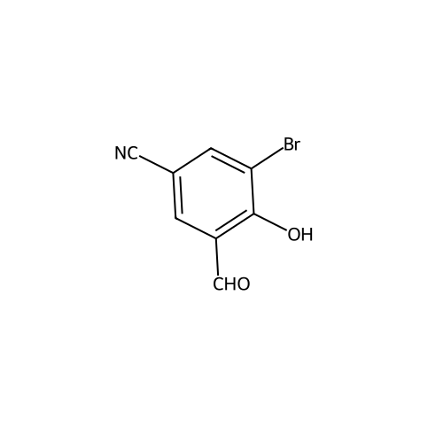 N#Cc1cc(Br)c(O)c(C=O)c1